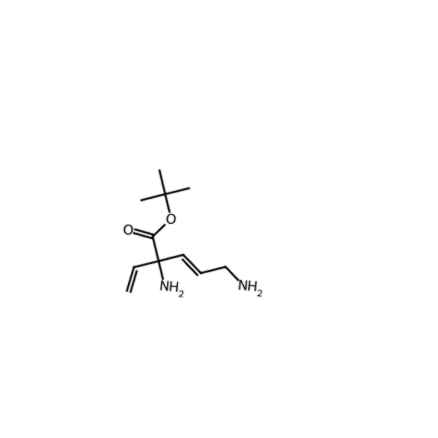 C=CC(N)(C=CCN)C(=O)OC(C)(C)C